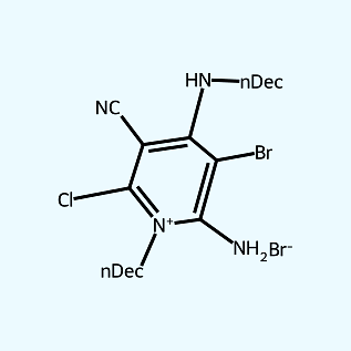 CCCCCCCCCCNc1c(Br)c(N)[n+](CCCCCCCCCC)c(Cl)c1C#N.[Br-]